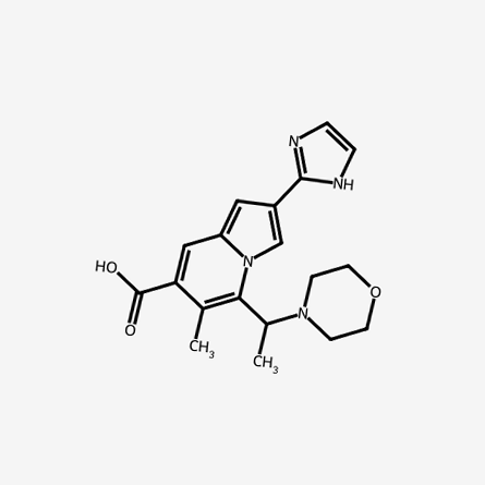 Cc1c(C(=O)O)cc2cc(-c3ncc[nH]3)cn2c1C(C)N1CCOCC1